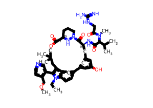 CCn1c(-c2cnccc2COC)c2c3cc(ccc31)-c1cc(O)cc(c1)C[C@H](NC(=O)C(C(C)C)N(C)C(=O)CNC(=N)N)C(=O)N1CCC[C@H](N1)C(=O)OCC(C)(C)C2